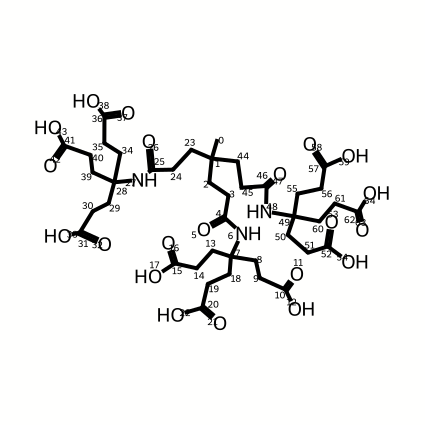 CC(CCC(=O)NC(CCC(=O)O)(CCC(=O)O)CCC(=O)O)(CCC(=O)NC(CCC(=O)O)(CCC(=O)O)CCC(=O)O)CCC(=O)NC(CCC(=O)O)(CCC(=O)O)CCC(=O)O